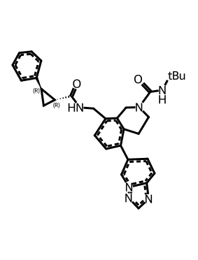 CC(C)(C)NC(=O)N1CCc2c(-c3ccc4ncnn4c3)ccc(CNC(=O)[C@@H]3C[C@H]3c3ccccc3)c2C1